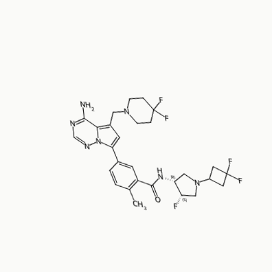 Cc1ccc(-c2cc(CN3CCC(F)(F)CC3)c3c(N)ncnn23)cc1C(=O)N[C@@H]1CN(C2CC(F)(F)C2)C[C@@H]1F